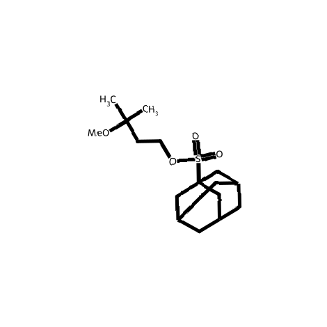 COC(C)(C)CCOS(=O)(=O)C12CC3CC(CC(C3)C1)C2